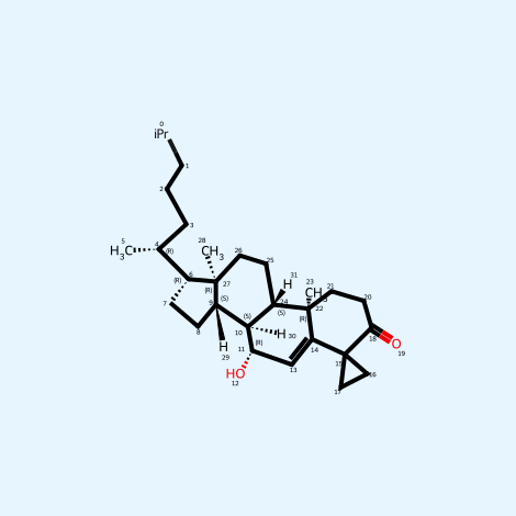 CC(C)CCC[C@@H](C)[C@H]1CC[C@H]2[C@@H]3[C@@H](O)C=C4C5(CC5)C(=O)CC[C@]4(C)[C@H]3CC[C@]12C